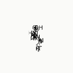 CCCn1c(NCCS(=O)(=O)O)nc2nc(-c3cnn(Cc4cccc(C(F)(F)F)c4)c3)[nH]c2c1=O